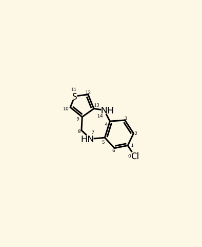 Clc1ccc2c(c1)NCc1cscc1N2